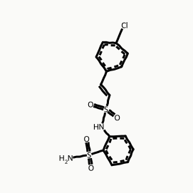 NS(=O)(=O)c1ccccc1NS(=O)(=O)/C=C/c1ccc(Cl)cc1